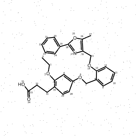 CCOc1cc(OCc2ccccc2OCc2nc(-c3ccccc3)oc2C)ccc1CCC(=O)O